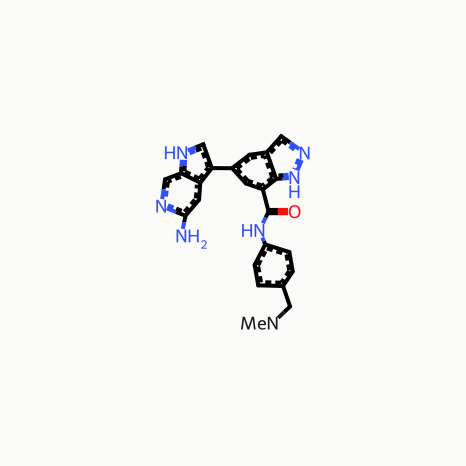 CNCc1ccc(NC(=O)c2cc(-c3c[nH]c4cnc(N)cc34)cc3cn[nH]c23)cc1